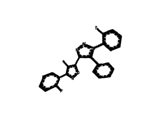 Cc1c(-c2ccccc2F)noc1-c1nnn(-c2ccccc2F)c1-c1ccccc1